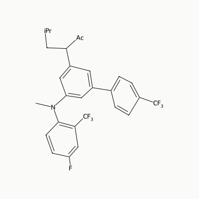 CC(=O)C(CC(C)C)c1cc(-c2ccc(C(F)(F)F)cc2)cc(N(C)c2ccc(F)cc2C(F)(F)F)c1